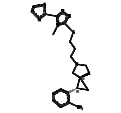 Cn1c(SCCCN2CC[C@]3(C[C@@H]3c3ccccc3C(F)(F)F)C2)nnc1-c1nccs1